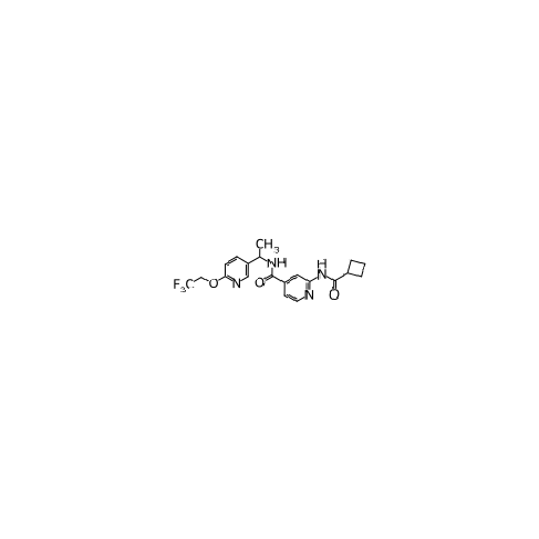 CC(NC(=O)c1ccnc(NC(=O)C2CCC2)c1)c1ccc(OCC(F)(F)F)nc1